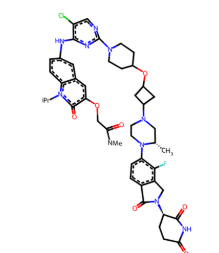 CNC(=O)COc1cc2cc(Nc3nc(N4CCC(OC5CC(N6CCN(c7ccc8c(c7F)CN([C@@H]7CCC(=O)NC7=O)C8=O)[C@@H](C)C6)C5)CC4)ncc3Cl)ccc2n(C(C)C)c1=O